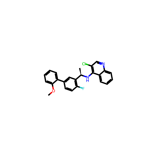 COc1ccccc1-c1ccc(F)c([C@@H](C)Nc2c(Cl)cnc3ccccc23)c1